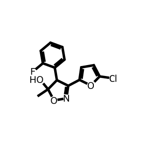 CC1(O)ON=C(c2ccc(Cl)o2)C1c1ccccc1F